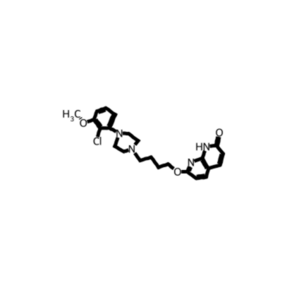 COc1cccc(N2CCN(CCCCOc3ccc4ccc(=O)[nH]c4n3)CC2)c1Cl